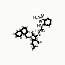 NS(=O)(=O)c1ccccc1NC(=S)NN=C1C(=O)N(Cc2cccc3ccccc23)c2cc(F)ccc21